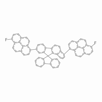 Fc1ccc2ccc3c(-c4ccc5c(c4)C4(c6ccccc6-c6ccccc64)c4c-5ccc5c(-c6ccc7ccc8c(F)ccc9ccc6c7c98)cccc45)ccc4ccc1c2c43